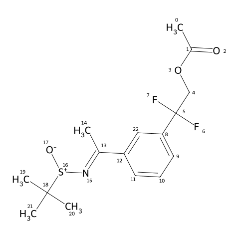 CC(=O)OCC(F)(F)c1cccc(C(C)=N[S+]([O-])C(C)(C)C)c1